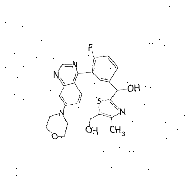 Cc1nc(C(O)c2ccc(F)c(-c3ncnc4cc(N5CCOCC5)ccc34)c2)sc1CO